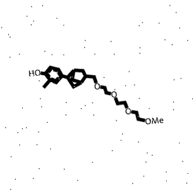 COCCOCCOCCOCC1CC2CC1CC2c1ccc(O)c(C)c1